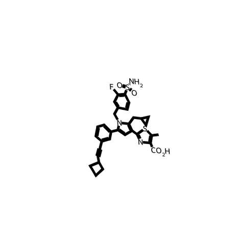 Cc1sc(-c2cc(-c3cccc(C#CC4CCC4)c3)n(Cc3ccc(S(N)(=O)=O)c(F)c3)c2CC2CC2)nc1C(=O)O